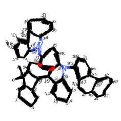 CC1(C)c2ccccc2-c2c(-c3ccccc3N(c3ccc(-n4c5ccccc5c5ccccc54)cc3)c3cccc4c3ccc3ccccc34)cccc21